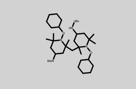 CCCCNC1CC(C)(C)N(OC2CCCCC2)C(C)(CC2(C)CC(NC)CC(C)(C)N2OC2CCCCC2)C1